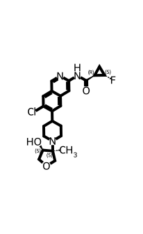 C[C@]1(N2CCC(c3cc4cc(NC(=O)[C@H]5C[C@@H]5F)ncc4cc3Cl)CC2)COC[C@H]1O